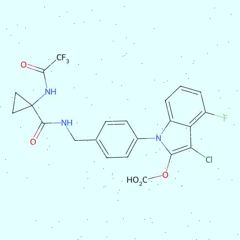 O=C(O)Oc1c(Cl)c2c(F)cccc2n1-c1ccc(CNC(=O)C2(NC(=O)C(F)(F)F)CC2)cc1